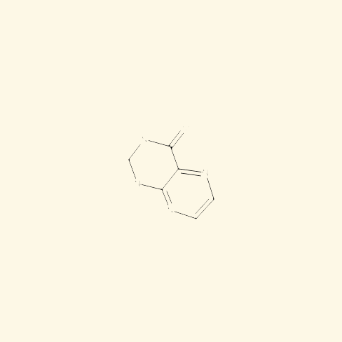 O=C1NCNc2nccnc21